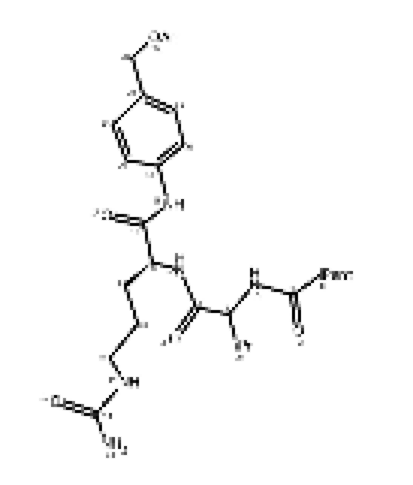 CCCC(C)C(=O)NC(C(=O)N[C@@H](CCCNC(N)=O)C(=O)Nc1ccc(COC(C)=O)cc1)C(C)C